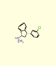 CN[C@@H]1C[C@@H](c2cccc(Cl)c2)c2ccccc21